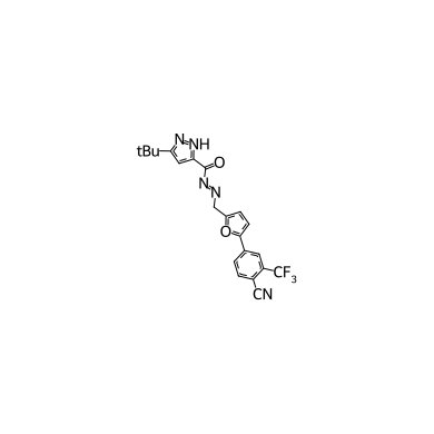 CC(C)(C)c1cc(C(=O)/N=N/Cc2ccc(-c3ccc(C#N)c(C(F)(F)F)c3)o2)[nH]n1